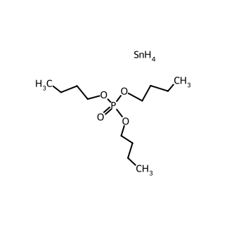 CCCCOP(=O)(OCCCC)OCCCC.[SnH4]